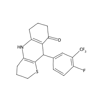 O=C1CCCC2=C1C(c1ccc(F)c(C(F)(F)F)c1)C1=C(CCCS1)N2